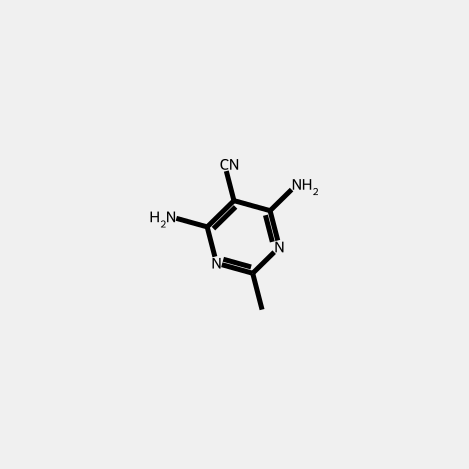 Cc1nc(N)c(C#N)c(N)n1